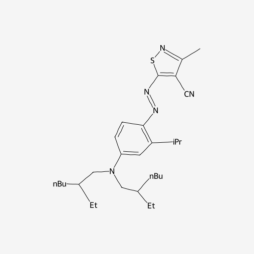 CCCCC(CC)CN(CC(CC)CCCC)c1ccc(/N=N/c2snc(C)c2C#N)c(C(C)C)c1